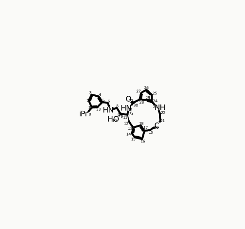 CC(C)c1cccc(CNC[C@@H](O)[C@@H]2Cc3cccc(c3)CCCCNc3cccc(c3)C(=O)N2)c1